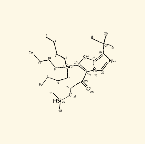 CCC[CH2][Sn]([CH2]CCC)([CH2]CCC)[c]1sc2c(C(C)(C)C)ncn2c1C(=O)CO[SiH](C)C